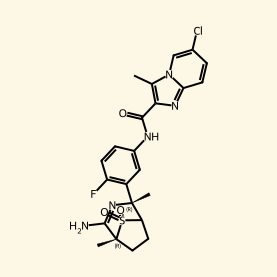 Cc1c(C(=O)Nc2ccc(F)c([C@@]3(C)N=C(N)[C@@]4(C)CCC3S4(=O)=O)c2)nc2ccc(Cl)cn12